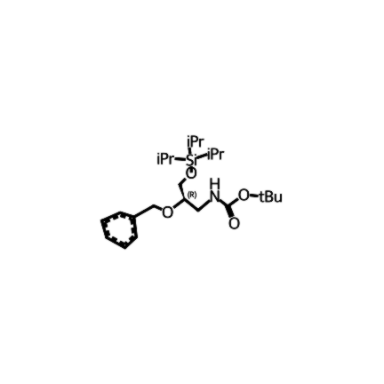 CC(C)[Si](OC[C@@H](CNC(=O)OC(C)(C)C)OCc1ccccc1)(C(C)C)C(C)C